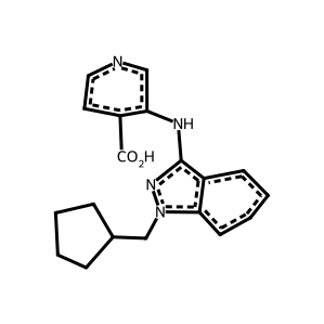 O=C(O)c1ccncc1Nc1nn(CC2CCCC2)c2ccccc12